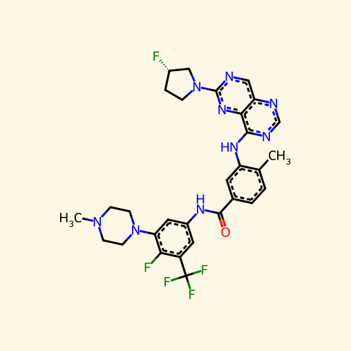 Cc1ccc(C(=O)Nc2cc(N3CCN(C)CC3)c(F)c(C(F)(F)F)c2)cc1Nc1ncnc2cnc(N3CC[C@H](F)C3)nc12